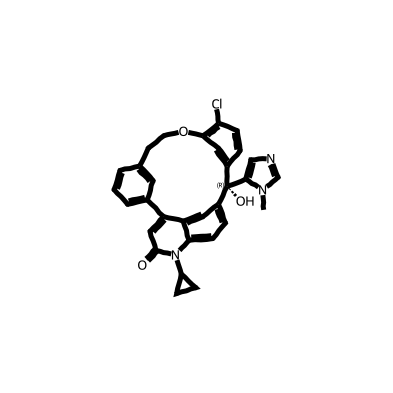 Cn1cncc1[C@]1(O)c2ccc(Cl)c(c2)OCCc2cccc(c2)-c2cc(=O)n(C3CC3)c3ccc1cc23